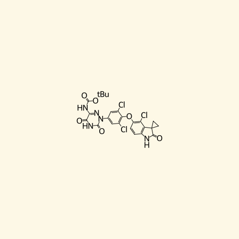 CC(C)(C)OC(=O)Nc1nn(-c2cc(Cl)c(Oc3ccc4c(c3Cl)C3(CC3)C(=O)N4)c(Cl)c2)c(=O)[nH]c1=O